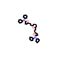 C1=C(/C=C/c2ccc(N(c3ccccc3)c3ccccc3)o2)OC(/C=C/c2ccc(N(c3ccccc3)c3ccccc3)o2)=CC1